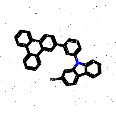 N#Cc1ccc2c3ccccc3n(-c3cccc(-c4ccc5c6ccccc6c6ccccc6c5c4)c3)c2c1